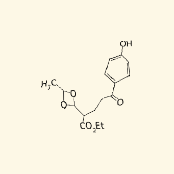 CCOC(=O)C(CCC(=O)c1ccc(O)cc1)C1OC(C)O1